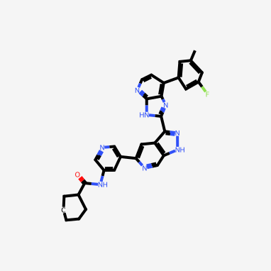 Cc1cc(F)cc(-c2ccnc3[nH]c(-c4n[nH]c5cnc(-c6cncc(NC(=O)C7CCCCC7)c6)cc45)nc23)c1